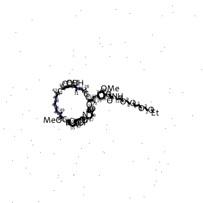 CCOCCOCCOCCOCCNC(=O)O[C@@H]1CC[C@@H](C[C@@H](C)[C@@H]2CC[C@H](C)/C=C(\C)[C@@H](O)[C@@H](O)C(=O)[C@H](C)C[C@H](C)/C=C/C=C/C=C(\C)[C@@H](OC)C[C@@H]3CC[C@@H](C)[C@@](O)(O3)C(=O)C(=O)N3CCCC[C@H]3C(=O)O2)C[C@H]1OC